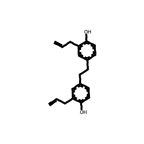 C=CCc1cc(CCc2ccc(O)c(CC=C)c2)ccc1O